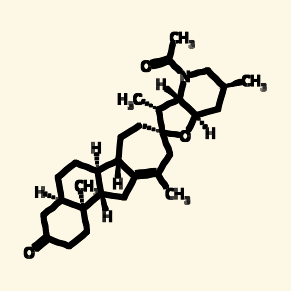 CC(=O)N1C[C@@H](C)C[C@H]2O[C@]3(CC[C@@H]4C(=C(C)C3)C[C@H]3[C@H]4CC[C@@H]4CC(=O)CC[C@@]43C)[C@H](C)[C@@H]21